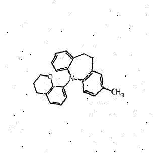 Cc1ccc2c(c1)CCc1ccccc1N2c1cccc2c1OCCC2